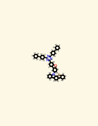 c1ccc(-c2ccc(-c3nc(-c4ccc(-c5ccccc5)cc4)nc(-c4ccc5c(c4)oc4ccc(-n6c7ccccc7c7ccc8c9ccccc9sc8c76)cc45)n3)cc2)cc1